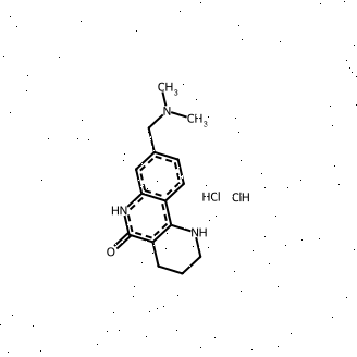 CN(C)Cc1ccc2c3c(c(=O)[nH]c2c1)CCCN3.Cl.Cl